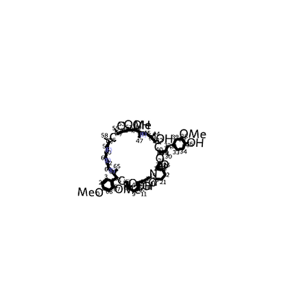 COc1ccc(C2C[C@@H]3CC[C@@H](C)[C@@](O)(O3)C(=O)C(=O)N3CCCC[C@H]3C(=O)O[C@H]([C@H](C)C[C@@H]3CC[C@@H](O)[C@H](OC)C3)CC(O)[C@H](C)/C=C(\C)[C@@H](O)[C@@H](OC)C(=O)[C@H](C)C[C@H](C)/C=C/C=C/C=C/2C)c(OC)c1